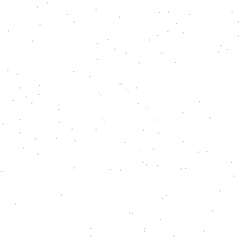 Nc1nc(C(F)(F)F)c(Br)nc1-c1nnc(C(=O)c2ccccc2)o1